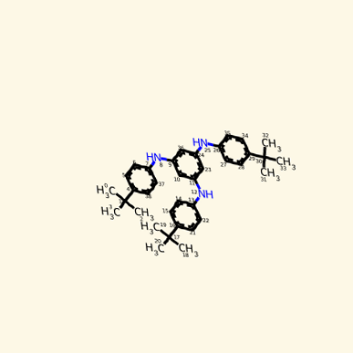 CC(C)(C)c1ccc(Nc2cc(Nc3ccc(C(C)(C)C)cc3)cc(Nc3ccc(C(C)(C)C)cc3)c2)cc1